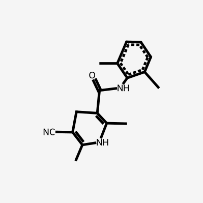 CC1=C(C#N)CC(C(=O)Nc2c(C)cccc2C)=C(C)N1